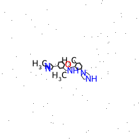 Cc1ccc(N2CCNCC2)cc1C(=O)N[C@H](C)c1cccc(-c2cnn(C)c2)c1